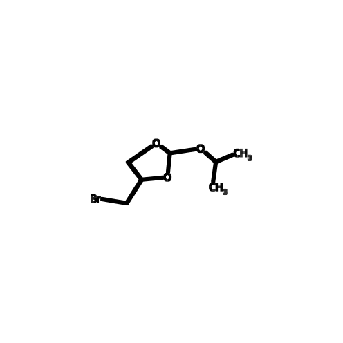 CC(C)OC1OCC(CBr)O1